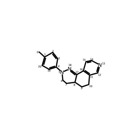 Cc1ccc(N2CCC3CCc4cnccc4C3=N2)cc1